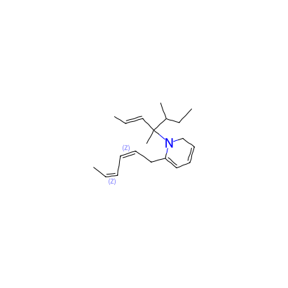 CC=CC(C)(C(C)CC)N1CC=CC=C1C/C=C\C=C/C